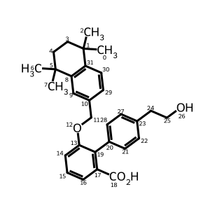 CC1(C)CCC(C)(C)c2cc(COc3cccc(C(=O)O)c3-c3ccc(CCO)cc3)ccc21